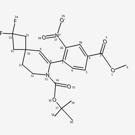 COC(=O)c1ccc(C2=CC3(CCN2C(=O)OC(C)(C)C)CC(F)(F)C3)c([N+](=O)[O-])c1